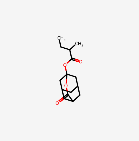 CCC(C)C(=O)OC12CC3CC(CC(C3)C(=O)O1)C2